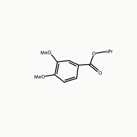 [CH2]CCOC(=O)c1ccc(OC)c(OC)c1